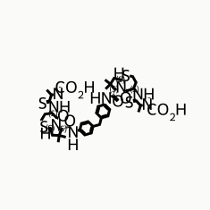 CC(C(=S)N[C@H]1CCS[C@H]2CC(C)(C)[C@@H](C(=O)Nc3ccc(Cc4ccc(NC(=O)[C@H]5N6C(=O)[C@@H](NC(=S)C(C)N(C)C(=O)O)CCS[C@H]6CC5(C)C)cc4)cc3)N2C1=O)N(C)C(=O)O